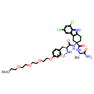 CCC(C)[C@H](NC(=O)[C@@]1(NC(=O)[C@H](Cc2ccc(OCCOCCOCCOCCOC)cc2)NC(=O)O)CCc2[nH]c3c(Cl)cc(Cl)cc3c2C1)C(N)=O